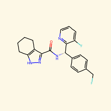 O=C(N[C@@H](c1ccc(CF)cc1)c1ncccc1F)c1n[nH]c2c1CCCC2